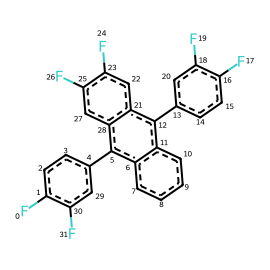 Fc1ccc(-c2c3ccccc3c(-c3ccc(F)c(F)c3)c3cc(F)c(F)cc23)cc1F